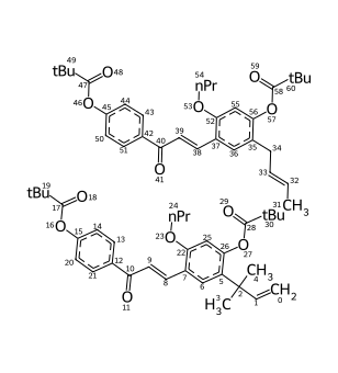 C=CC(C)(C)c1cc(C=CC(=O)c2ccc(OC(=O)C(C)(C)C)cc2)c(OCCC)cc1OC(=O)C(C)(C)C.CC=CCc1cc(C=CC(=O)c2ccc(OC(=O)C(C)(C)C)cc2)c(OCCC)cc1OC(=O)C(C)(C)C